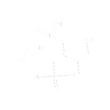 CC(CO)N(CP(=O)(O)O)CP(=O)(O)O.COC